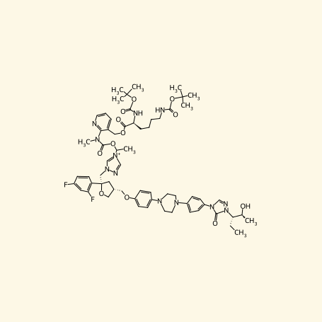 CC[C@@H]([C@H](C)O)n1ncn(-c2ccc(N3CCN(c4ccc(OC[C@@H]5CO[C@@](Cn6c[n+](C(C)OC(=O)N(C)c7ncccc7COC(=O)[C@H](CCCCNC(=O)OC(C)(C)C)NC(=O)OC(C)(C)C)cn6)(c6ccc(F)cc6F)C5)cc4)CC3)cc2)c1=O